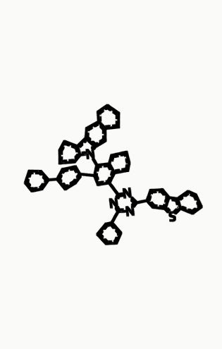 c1ccc(-c2ccc(-c3cc(-c4nc(-c5ccccc5)nc(-c5ccc6c(c5)sc5ccccc56)n4)c4ccccc4c3-n3c4ccccc4c4cc5ccccc5cc43)cc2)cc1